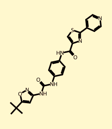 CC(C)(C)c1cc(NC(=O)Nc2ccc(NC(=O)c3csc(-c4ccncc4)n3)cc2)no1